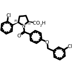 O=C(O)[C@@H]1CC[C@H](c2ccccc2Cl)N1C(=O)c1ccc(OCc2cccc(Cl)c2)cc1